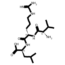 CC(C)C[C@H](NC(=O)[C@H](CCCNC(=N)N)NC(=O)[C@@H](N)C(C)C)C(=O)O